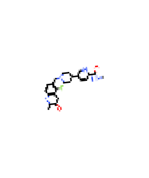 CNC(=O)C1C=CC(=C2C=CN(Cc3ccc4c(c3F)CC(=O)C(C)=N4)CC2)C=N1